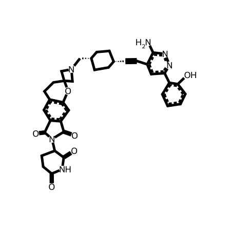 Nc1nnc(-c2ccccc2O)cc1C#C[C@H]1CC[C@@H](CN2CC3(CCc4cc5c(cc4O3)C(=O)N(C3CCC(=O)NC3=O)C5=O)C2)CC1